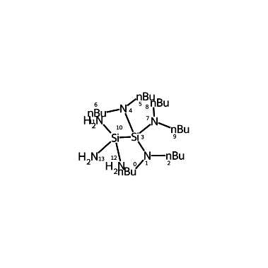 CCCCN(CCCC)[Si](N(CCCC)CCCC)(N(CCCC)CCCC)[Si](N)(N)N